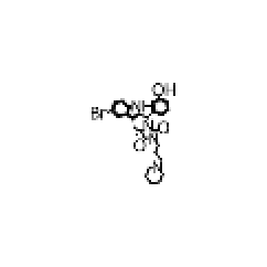 C[C@@]12Cc3c([nH]c4ccc(Br)cc34)[C@@H](c3cccc(O)c3)N1C(=O)N(CCCN1CCCCC1)C2=O